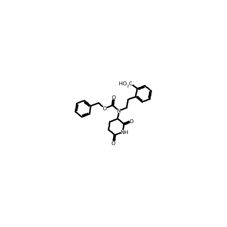 O=C1CCC(N(CCc2ccccc2C(=O)O)C(=O)OCc2ccccc2)C(=O)N1